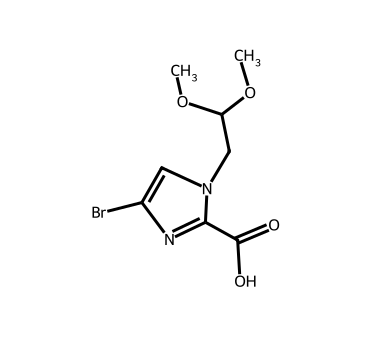 COC(Cn1cc(Br)nc1C(=O)O)OC